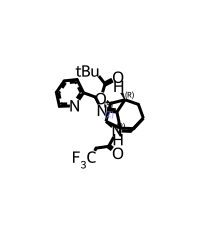 CC(C)(C)C(=O)O[C@@H]1C2[C@H]3CC(C[C@@H]1/C3=N\Cc1ccccn1)CN2C(=O)CC(F)(F)F